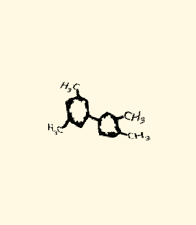 Cc1cc(C)cc(-c2ccc(C)c(C)c2)c1